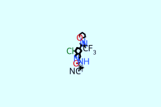 N#C[C@@H]1C[C@H]1C(=O)Nc1cc2cc(-c3cn(C4CCCCO4)nc3C(F)(F)F)cc(Cl)c2cn1